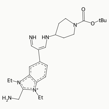 CCn1c(CN)[n+](CC)c2ccc(/C(C=N)=C/NC3CCN(C(=O)OC(C)(C)C)CC3)cc21